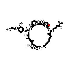 CO[C@@H]1C[C@H](C[C@@H](C)[C@@H]2CC(=O)[C@H](C)/C=C(\C)[C@@H](O)[C@@H](OC)C(=O)[C@H](C)C[C@H](C)/C=C/C=C/C=C(\C)[C@H](OCCCC(=O)N(C)C)C[C@@H]3CC[C@@H](C)[C@@](O)(O3)C(=O)C(=O)N3CCCC[C@H]3C(=O)O2)CC[C@H]1OCCO